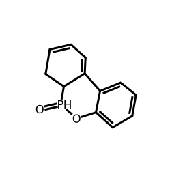 O=[PH]1Oc2ccccc2C2=CC=CCC21